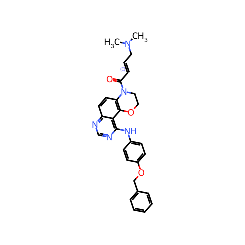 CN(C)C/C=C/C(=O)N1CCOc2c1ccc1ncnc(Nc3ccc(OCc4ccccc4)cc3)c21